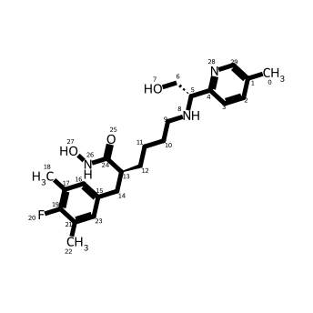 Cc1ccc([C@@H](CO)NCCCC[C@@H](Cc2cc(C)c(F)c(C)c2)C(=O)NO)nc1